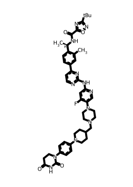 Cc1cc(-c2ccnc(Nc3cc(F)c(N4CCN(CC5CCN(c6ccc(N7CCC(=O)NC7=O)cc6)CC5)CC4)cn3)n2)ccc1[C@@H](C)NC(=O)c1nc(C(C)(C)C)no1